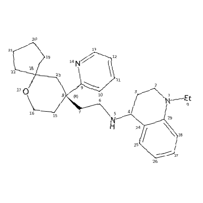 CCN1CCC(NCC[C@@]2(c3ccccn3)CCOC3(CCCC3)C2)c2ccccc21